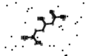 CN(C)CCC(O)CC(=O)O